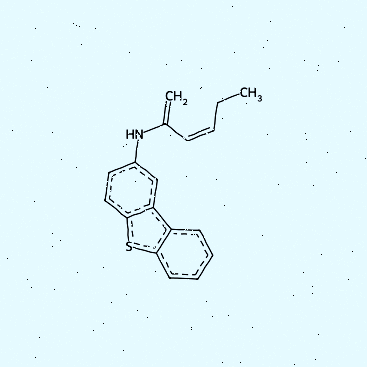 C=C(/C=C\CC)Nc1ccc2sc3ccccc3c2c1